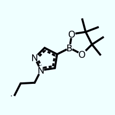 [CH2]CCn1cc(B2OC(C)(C)C(C)(C)O2)cn1